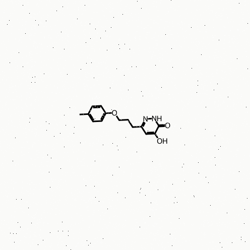 Cc1ccc(OCCCc2cc(O)c(=O)[nH]n2)cc1